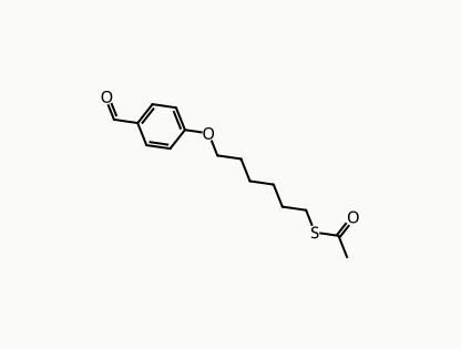 CC(=O)SCCCCCCOc1ccc(C=O)cc1